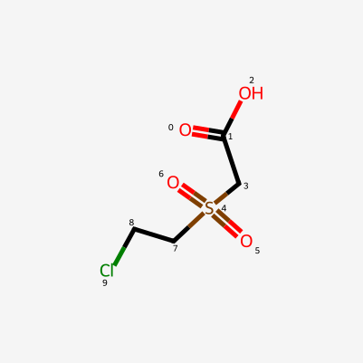 O=C(O)CS(=O)(=O)CCCl